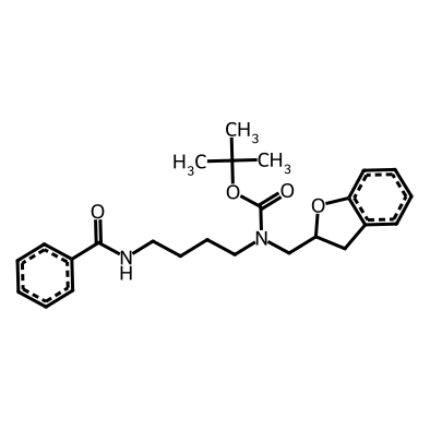 CC(C)(C)OC(=O)N(CCCCNC(=O)c1ccccc1)CC1Cc2ccccc2O1